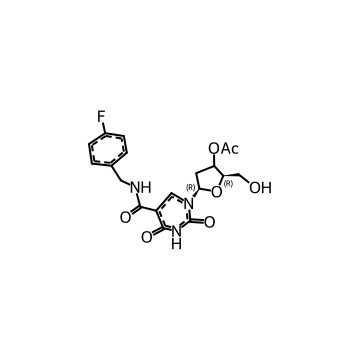 CC(=O)OC1C[C@H](n2cc(C(=O)NCc3ccc(F)cc3)c(=O)[nH]c2=O)O[C@@H]1CO